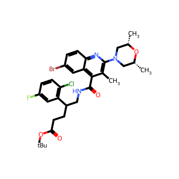 Cc1c(N2C[C@@H](C)O[C@@H](C)C2)nc2ccc(Br)cc2c1C(=O)NCC(CCC(=O)OC(C)(C)C)c1cc(F)ccc1Cl